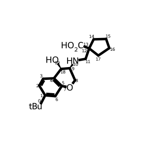 CC(C)(C)c1ccc2c(c1)OC[C@H](NCC1(C(=O)O)CCCC1)[C@@H]2O